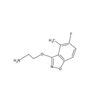 Cc1c(F)ccc2onc(OCCN)c12